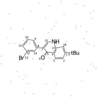 CC(C)(C)c1ccc2c(=O)c(-c3cccc(Br)c3)c[nH]c2c1